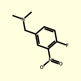 CN(C)Cc1ccc(F)c([N+](=O)[O-])c1